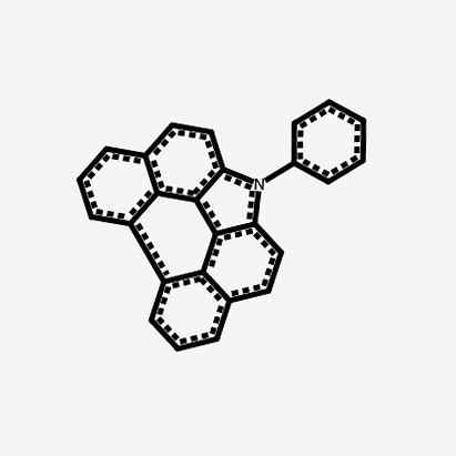 c1ccc(-n2c3ccc4cccc5c6cccc7ccc2c(c76)c3c45)cc1